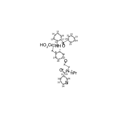 CCCN(CCOc1ccc(C[C@H](Nc2ccccc2C(=O)c2ccccc2)C(=O)O)cc1)C(=O)c1cccnc1